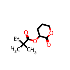 CCC(C)(C)C(=O)OC1CCCOC1=O